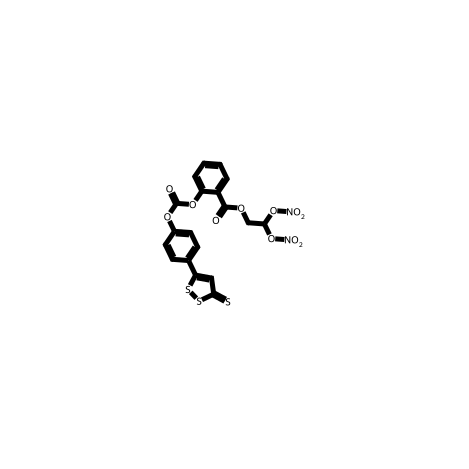 O=C(Oc1ccc(-c2cc(=S)ss2)cc1)Oc1ccccc1C(=O)OCC(O[N+](=O)[O-])O[N+](=O)[O-]